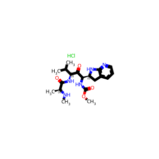 CN[C@@H](C)C(=O)N[C@H](C(=O)C(NC(=O)OC)[C@@H]1Cc2cccnc2N1)C(C)C.Cl